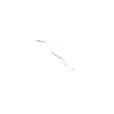 COCCO.P